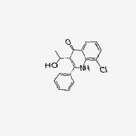 CC(O)c1c(-c2ccccc2)[nH]c2c(Cl)cccc2c1=O